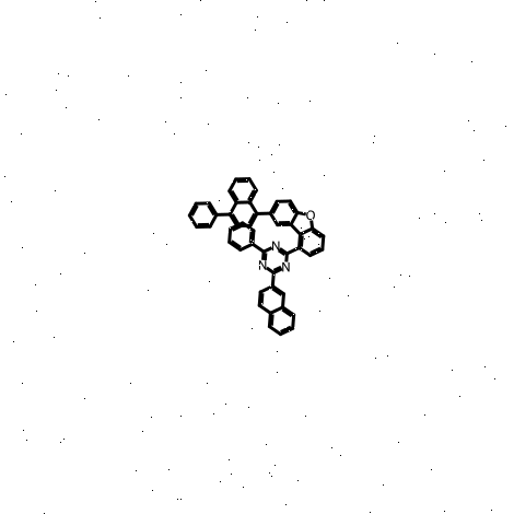 c1ccc(-c2nc(-c3ccc4ccccc4c3)nc(-c3cccc4oc5ccc(-c6ccc(-c7ccccc7)c7ccccc67)cc5c34)n2)cc1